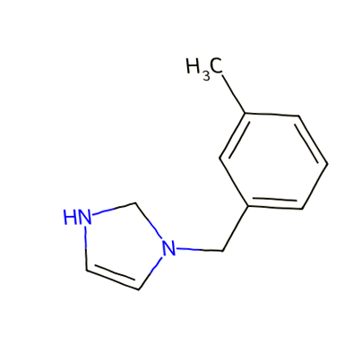 Cc1cccc(CN2C=CNC2)c1